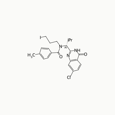 Cc1ccc(C(=O)N(CCCI)[C@@H](c2nc3cc(Cl)ccc3c(=O)[nH]2)C(C)C)cc1